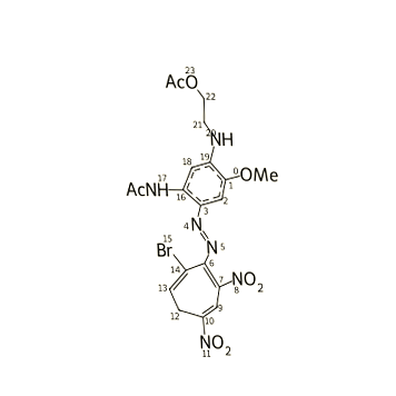 COc1cc(/N=N/C2=C([N+](=O)[O-])C=C([N+](=O)[O-])CC=C2Br)c(NC(C)=O)cc1NCCOC(C)=O